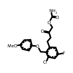 COc1ccc(OCc2c(Cl)cc(F)cc2CCC(=O)COC(N)=O)cc1